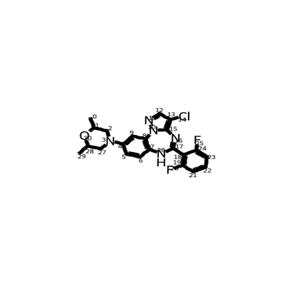 CC1CN(c2ccc3c(c2)-n2ncc(Cl)c2N=C(c2c(F)cccc2F)N3)CC(C)O1